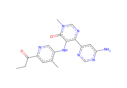 CCC(=O)c1cc(C)c(Nc2c(-c3cc(N)ncn3)ncn(C)c2=O)cn1